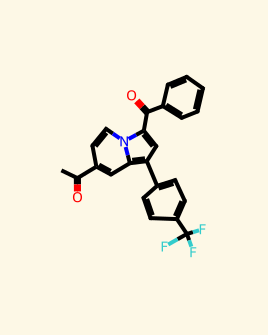 CC(=O)c1ccn2c(C(=O)c3ccccc3)cc(-c3ccc(C(F)(F)F)cc3)c2c1